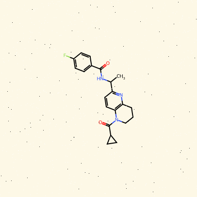 CC(NC(=O)c1ccc(F)cc1)c1ccc2c(n1)CCCN2C(=O)C1CC1